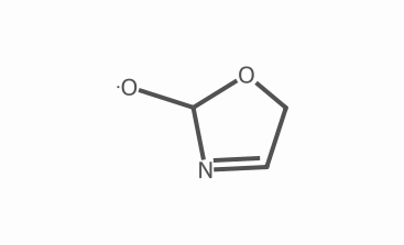 [O]C1N=CCO1